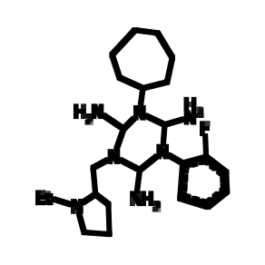 CCN1CCCC1CN1C(N)N(c2ccccc2F)C(N)N(C2CCCCCC2)C1N